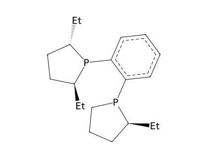 CC[C@H]1CCCP1c1ccccc1P1[C@@H](CC)CC[C@@H]1CC